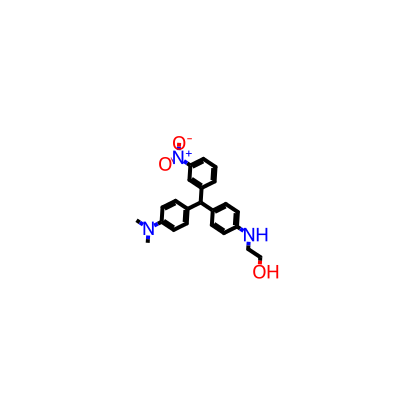 CN(C)c1ccc(C(c2ccc(NCCO)cc2)c2cccc([N+](=O)[O-])c2)cc1